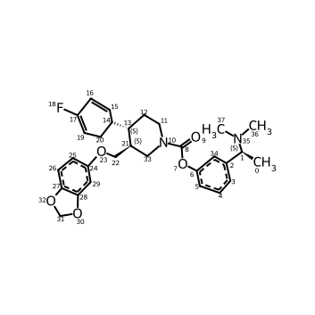 C[C@@H](c1cccc(OC(=O)N2CC[C@@H](C3C=CC(F)=CC3)[C@H](COc3ccc4c(c3)OCO4)C2)c1)N(C)C